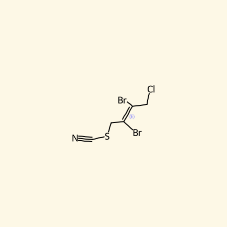 N#CSC/C(Br)=C(\Br)CCl